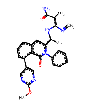 C=N/C(N[C@@H](C)c1cc2cccc(-c3cnc(OC)nc3)c2c(=O)n1-c1ccccc1)=C(\C)C(N)=O